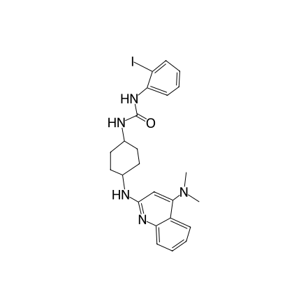 CN(C)c1cc(NC2CCC(NC(=O)Nc3ccccc3I)CC2)nc2ccccc12